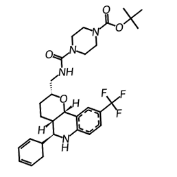 CC(C)(C)OC(=O)N1CCN(C(=O)NC[C@H]2CC[C@@H]3[C@H](O2)c2cc(C(F)(F)F)ccc2N[C@H]3C2C=CC=CC2)CC1